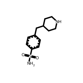 NS(=O)(=O)c1ccc(CC2CCNCC2)cc1